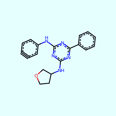 c1ccc(Nc2nc(NC3CCOC3)nc(-c3ccccc3)n2)cc#1